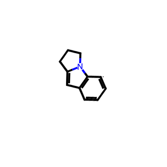 [c]1cccc2cc3n(c12)CCC3